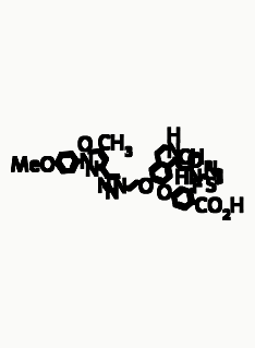 COc1ccc(-n2nc(-c3cn(CCOc4cc5c(cc4Oc4ccc(C(=O)O)c(F)c4)C(C)(CC(=O)Nc4nccs4)NCC5)nn3)cc(C)c2=O)cc1